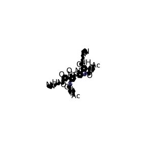 CC(=O)N1CCN(C(=O)/C=C/c2ccc(Sc3ccc(/C=C/C(=O)N4CCN(C(C)=O)CC4)c(-c4cccc(C(=O)NCCCn5ccnc5)c4)c3[N+](=O)[O-])c([N+](=O)[O-])c2-c2cccc(C(=O)NCCCn3ccnc3)c2)CC1